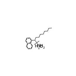 CCCCCCCCC(c1cccc2ccccc12)C(C)(C)N.O